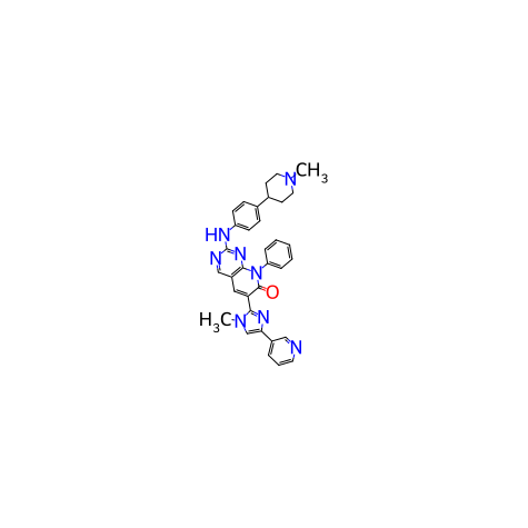 CN1CCC(c2ccc(Nc3ncc4cc(-c5nc(-c6cccnc6)cn5C)c(=O)n(-c5ccccc5)c4n3)cc2)CC1